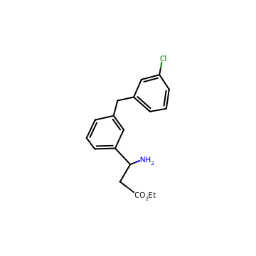 CCOC(=O)CC(N)c1cccc(Cc2cccc(Cl)c2)c1